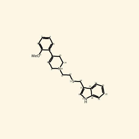 COc1ccccc1C1=CCN(CCSCc2c[nH]c3ccccc23)CC1